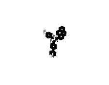 Fc1ccc(-c2nc(-c3ccc(-c4ccncc4)cc3)nc(-c3ccc4ccc5cccc6ccc3c4c56)n2)cc1